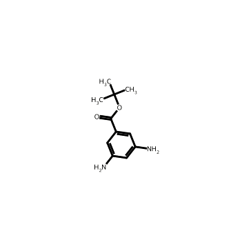 CC(C)(C)OC(=O)c1cc(N)cc(N)c1